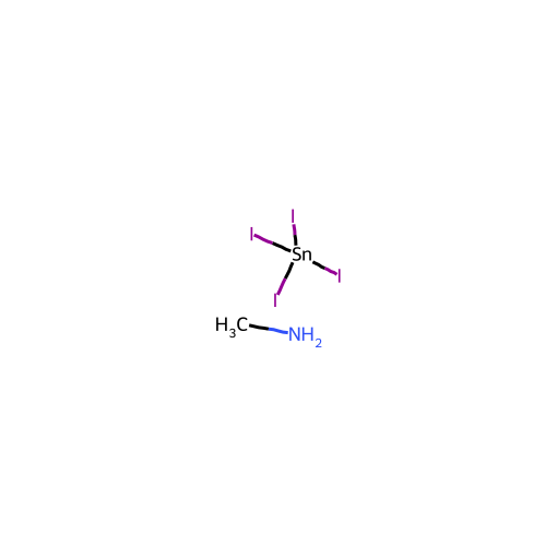 CN.[I][Sn]([I])([I])[I]